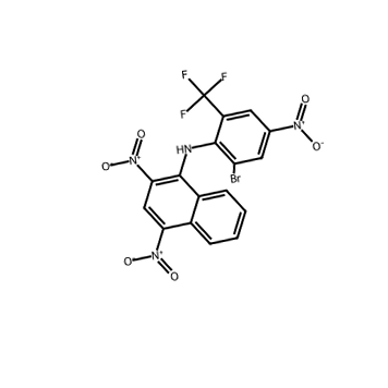 O=[N+]([O-])c1cc(Br)c(Nc2c([N+](=O)[O-])cc([N+](=O)[O-])c3ccccc23)c(C(F)(F)F)c1